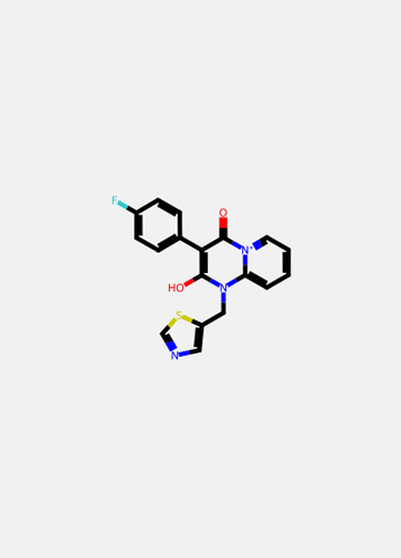 O=c1c(-c2ccc(F)cc2)c(O)n(Cc2cncs2)c2cccc[n+]12